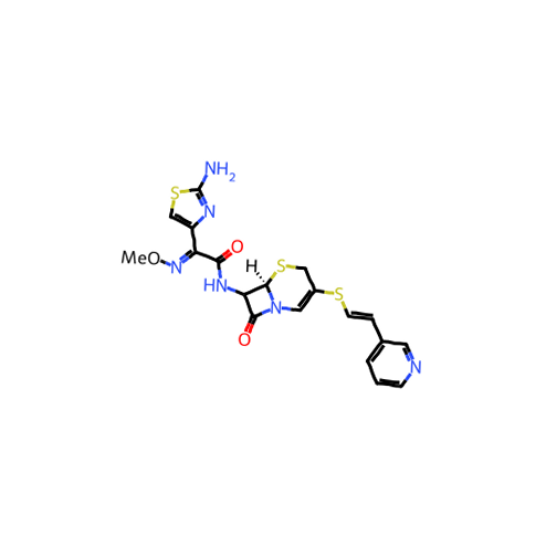 CON=C(C(=O)NC1C(=O)N2C=C(SC=Cc3cccnc3)CS[C@H]12)c1csc(N)n1